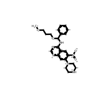 COCCCOC(Nc1ncnc2cc(N3CCNCC3)c([N+](=O)[O-])cc12)c1ccccc1